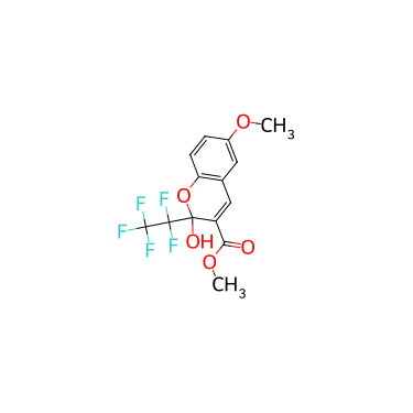 COC(=O)C1=Cc2cc(OC)ccc2OC1(O)C(F)(F)C(F)(F)F